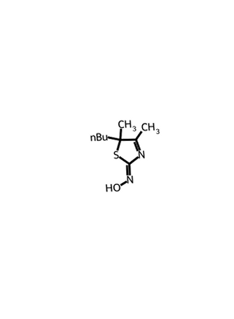 CCCCC1(C)SC(=NO)N=C1C